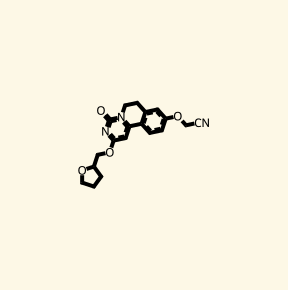 N#CCOc1ccc2c(c1)CCn1c-2cc(OCC2CCCO2)nc1=O